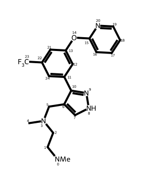 CNCCN(C)Cc1c[nH]nc1-c1cc(Oc2ccccn2)cc(C(F)(F)F)c1